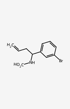 C=CCC(NC(=O)O)c1cccc(Br)c1